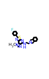 Cn1cnc2c(NCCN3Cc4ccccc4C3)nc3sc(-c4ccc(F)cc4)nc3c21